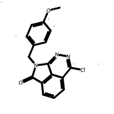 COc1ccc(CN2C(=O)c3cccc4c(Cl)nnc2c34)cc1